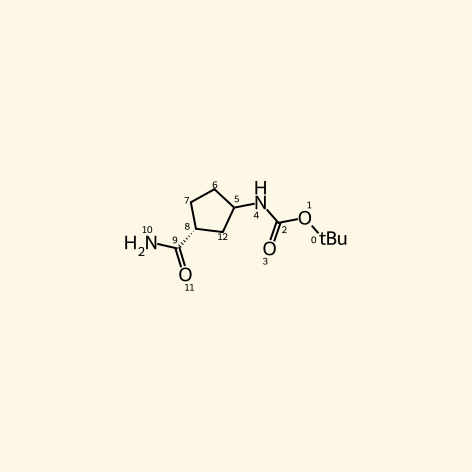 CC(C)(C)OC(=O)NC1CC[C@@H](C(N)=O)C1